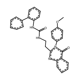 COc1ccc(-n2c(CCNC(=O)Nc3ccccc3-c3ccccc3)nc3ccccc3c2=O)cc1